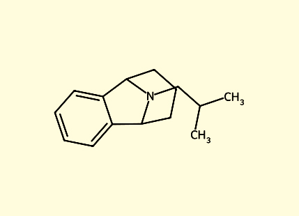 CC(C)CN1C2CCCC1c1ccccc12